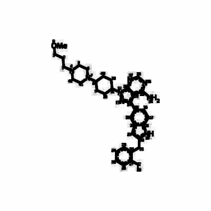 COCCCN1CCN(C2CCC(n3nc(-c4ccc5[nH]c(Cc6ccccc6F)cc5c4)c4c(N)ncnc43)CC2)CC1